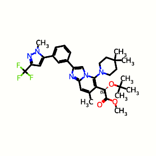 COC(=O)[C@@H](OC(C)(C)C)c1c(C)cc2nc(-c3cccc(-c4cc(C(F)(F)F)nn4C)c3)cn2c1N1CCC(C)(C)CC1